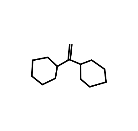 C=C(C1CCCCC1)C1CCCCC1